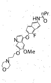 CCCC(=O)Nc1ccc2c(F)c(Oc3ccnc4cc(OCCCN5CCOCC5)c(OC)cc34)ccc2c1